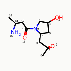 CC(=O)C[C@@H]1CC(O)CN1C(=O)C[C@H](C)N